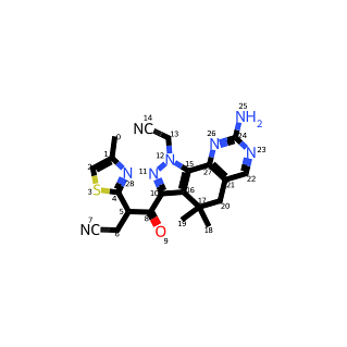 Cc1csc(C(CC#N)C(=O)c2nn(CC#N)c3c2C(C)(C)Cc2cnc(N)nc2-3)n1